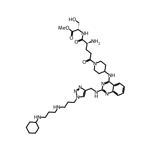 COC(=O)[C@H](CO)NC(=O)[C@@H](N)CCC(=O)N1CCC(Nc2nc(NCc3cn(CCCNCCCNC4CCCCC4)nn3)nc3ccccc23)CC1